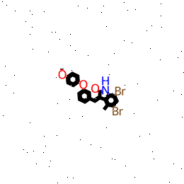 COc1ccc(Oc2cccc(C=C3C(=O)Nc4c(Br)cc(Br)c(C)c43)c2)cc1